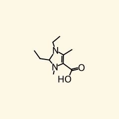 CCC1N(C)C(C(=O)O)=C(C)N1CC